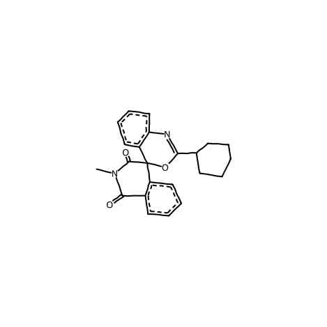 CN1C(=O)c2ccccc2C2(OC(C3CCCCC3)=Nc3ccccc32)C1=O